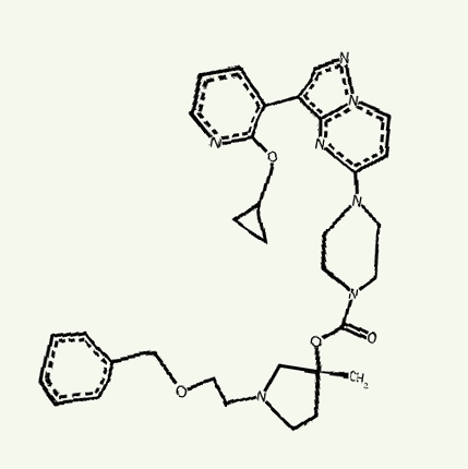 C[C@@]1(OC(=O)N2CCN(c3ccn4ncc(-c5cccnc5OC5CC5)c4n3)CC2)CCN(CCOCc2ccccc2)C1